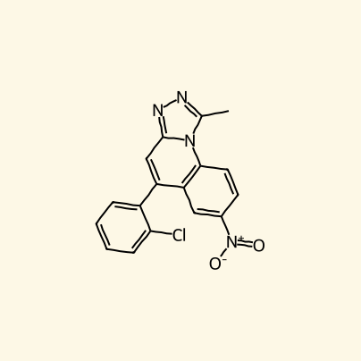 Cc1nnc2cc(-c3ccccc3Cl)c3cc([N+](=O)[O-])ccc3n12